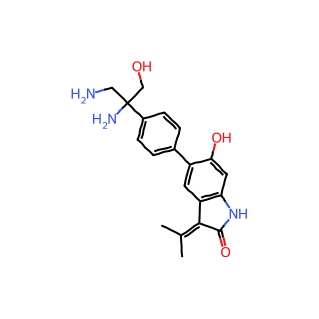 CC(C)=C1C(=O)Nc2cc(O)c(-c3ccc(C(N)(CN)CO)cc3)cc21